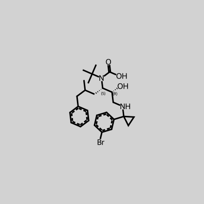 CC(Cc1ccccc1)C[C@@H]([C@H](O)CNC1(c2cccc(Br)c2)CC1)N(C(=O)O)C(C)(C)C